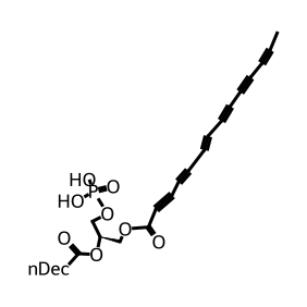 CC#CC#CC#CC#CC#CC#CC(=O)OC[C@H](COP(=O)(O)O)OC(=O)CCCCCCCCCC